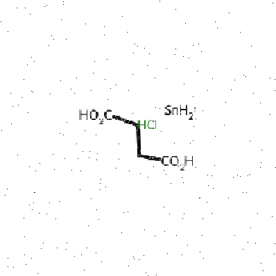 Cl.O=C(O)CCC(=O)O.[SnH2]